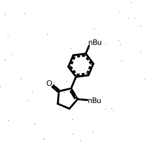 CCCCC1=C(c2ccc(CCCC)cc2)C(=O)CC1